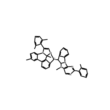 Cc1ccc2c(c1)-c1cccc3c1C1(C)N2C(c2c(C)cccc2C)=CN1[C@H]3C1c2ccccc2N2c3nc(-c4ccccc4C)ncc3N(C)C12